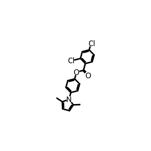 Cc1ccc(C)n1-c1ccc(OC(=O)c2ccc(Cl)cc2Cl)cc1